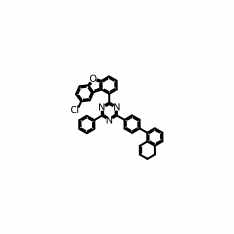 Clc1ccc2oc3cccc(-c4nc(-c5ccccc5)nc(-c5ccc(-c6cccc7c6C=CCC7)cc5)n4)c3c2c1